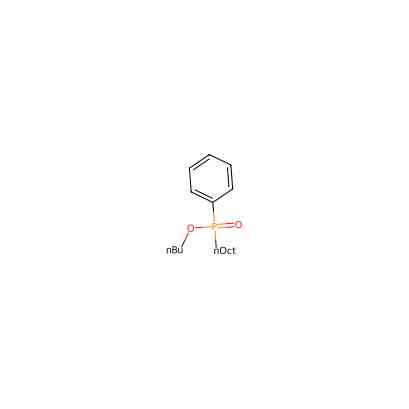 CCCCCCCCP(=O)(OCCCC)c1ccccc1